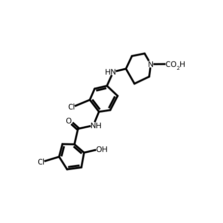 O=C(Nc1ccc(NC2CCN(C(=O)O)CC2)cc1Cl)c1cc(Cl)ccc1O